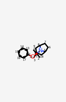 CC(C)(C)N1C2CCC1CC(Oc1ccccc1)C2